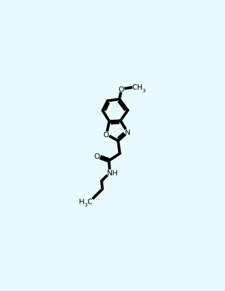 CCCNC(=O)Cc1nc2cc(OC)ccc2o1